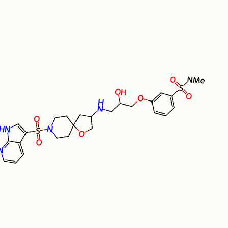 CNS(=O)(=O)c1cccc(OCC(O)CNC2COC3(CCN(S(=O)(=O)c4c[nH]c5ncccc45)CC3)C2)c1